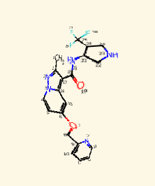 Cc1nn2ccc(OCc3ccccn3)cc2c1C(=O)N[C@@H]1CNC[C@@H]1C(F)(F)F